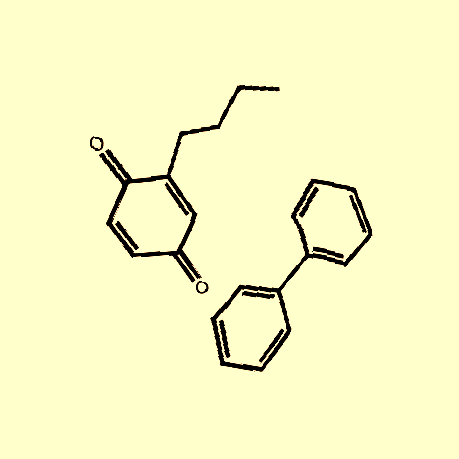 CCCCC1=CC(=O)C=CC1=O.c1ccc(-c2ccccc2)cc1